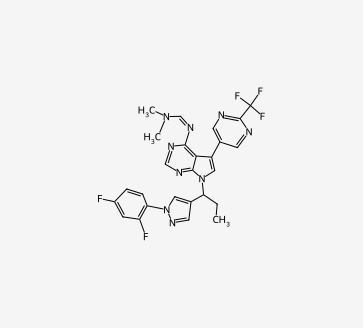 CCC(c1cnn(-c2ccc(F)cc2F)c1)n1cc(-c2cnc(C(F)(F)F)nc2)c2c(/N=C\N(C)C)ncnc21